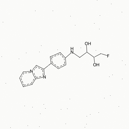 OC(CF)C(O)CNc1ccc(-c2cn3ccccc3n2)cc1